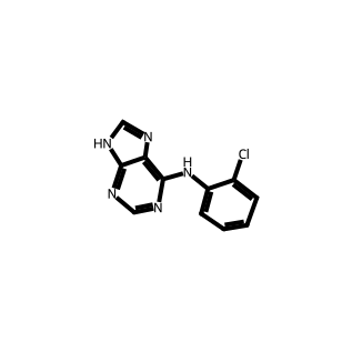 Clc1ccccc1Nc1ncnc2[nH]cnc12